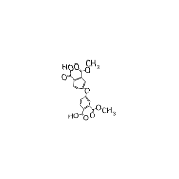 COC(=O)c1cc(Oc2ccc(C(=O)O)c(C(=O)OC)c2)ccc1C(=O)O